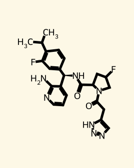 CC(C)c1ccc([C@@H](NC(=O)C2CC(F)CN2C(=O)Cc2cnn[nH]2)c2cccnc2N)cc1F